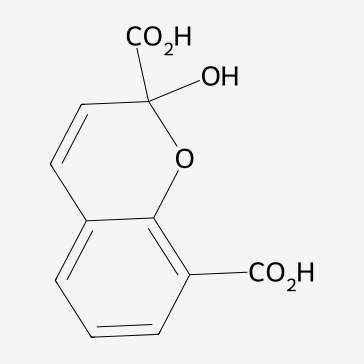 O=C(O)c1cccc2c1OC(O)(C(=O)O)C=C2